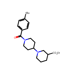 CCOC(=O)C1CCCN(C2CCN(C(=O)c3ccc(C(C)(C)C)cc3)CC2)C1